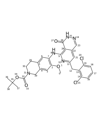 COc1cc2c(cc1Nc1nc(Cc3c(Cl)cccc3Cl)cc3cn[nH]c(=O)c13)CCN(C(=O)OC(C)(C)C)C2